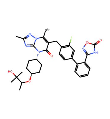 CCCc1c(Cc2ccc(-c3ccccc3-c3noc(=O)[nH]3)cc2F)c(=O)n([C@H]2CC[C@H](OC(C)C(C)(C)O)CC2)c2nc(C)nn12